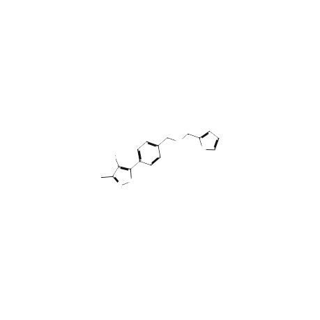 Cc1noc(-c2ccc(COCc3ccco3)cc2)c1N